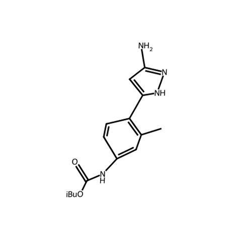 Cc1cc(NC(=O)OCC(C)C)ccc1-c1cc(N)n[nH]1